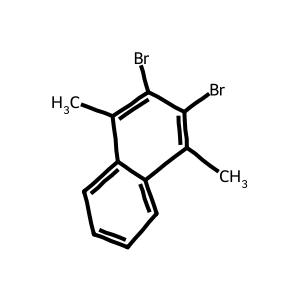 Cc1c(Br)c(Br)c(C)c2ccccc12